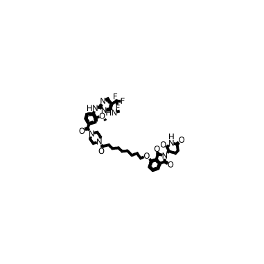 CNc1nc(Nc2ccc(C(=O)N3CCN(C(=O)CCCCCCCCOc4cccc5c4C(=O)N(C4CCC(=O)NC4=O)C5=O)CC3)cc2OC)ncc1C(F)(F)F